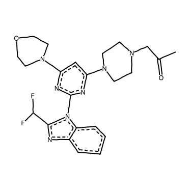 CC(=O)CN1CCN(c2cc(N3CCOCC3)nc(-n3c(C(F)F)nc4ccccc43)n2)CC1